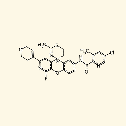 Cc1cc(Cl)cnc1C(=O)Nc1ccc2c(c1)[C@@]1(CCSC(N)=N1)c1cc(C3=CCOCC3)nc(F)c1O2